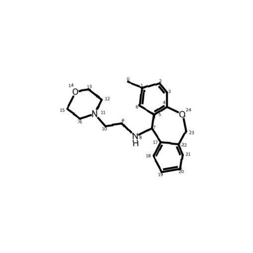 Cc1ccc2c(c1)C(NCCN1CCOCC1)c1ccccc1CO2